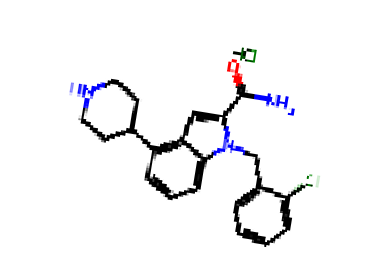 Cl.NC(=O)c1cc2c(C3CCNCC3)cccc2n1Cc1ccccc1Cl